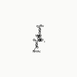 CCC(C)C1=C(CN2CCN(c3ccc(C(=O)NS(=O)(=O)c4ccc(NC(CCN5CCN(C(=O)CCCCCNC(C)=O)CC5)CSc5ccccc5)c(S(=O)(=O)C(F)(F)F)c4)cc3)CC2)CCC(C)(C)C1